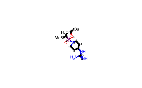 CSC(C)P(=O)(OCC(C)(C)C)N1CCC(NC(=N)N)CC1